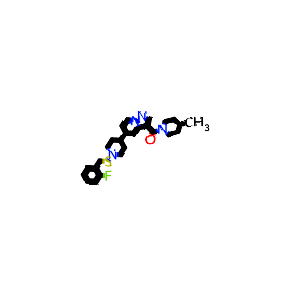 CC1CCN(C(=O)c2cnn3ccc(C4CCN(SCc5ccccc5F)CC4)cc23)CC1